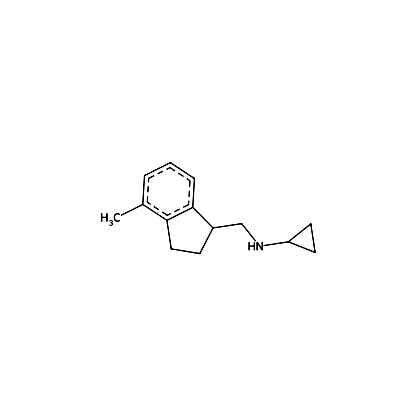 Cc1cccc2c1CCC2CNC1CC1